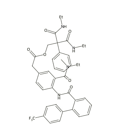 CCNC(=O)C(COC(=O)Cc1ccc(NC(=O)c2ccccc2-c2ccc(C(F)(F)F)cc2)c(C(=O)N(C)CC)c1)(C(=O)NCC)c1ccccc1